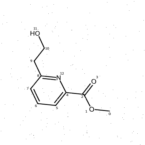 COC(=O)c1cccc(CCO)n1